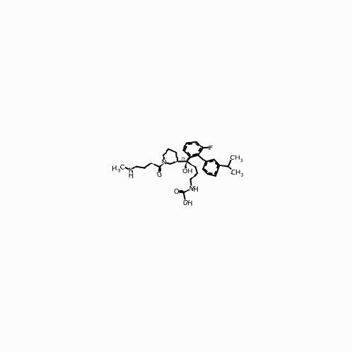 CNCCCC(=O)N1CCCC([C@@](O)(CCCNC(=O)O)c2cccc(F)c2-c2cccc(C(C)C)c2)C1